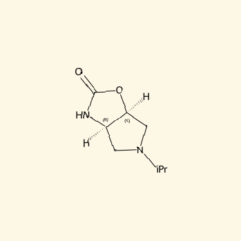 CC(C)N1C[C@@H]2OC(=O)N[C@@H]2C1